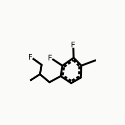 Cc1ccc(CC(C)CF)c(F)c1F